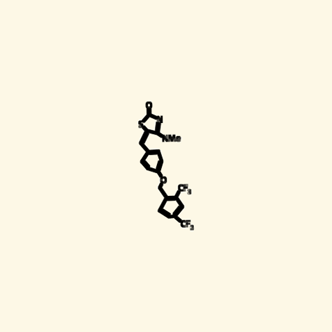 CNC1=NC(=O)SC1=Cc1ccc(OCc2ccc(C(F)(F)F)cc2C(F)(F)F)cc1